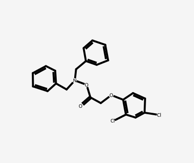 O=C(COc1ccc(Cl)cc1Cl)ON(Cc1ccccc1)Cc1ccccc1